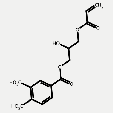 C=CC(=O)OCC(O)COC(=O)c1ccc(C(=O)O)c(C(=O)O)c1